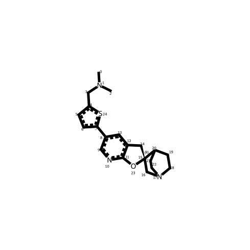 CN(C)Cc1ccc(-c2cnc3c(c2)C[C@@]2(CN4CCC2CC4)O3)s1